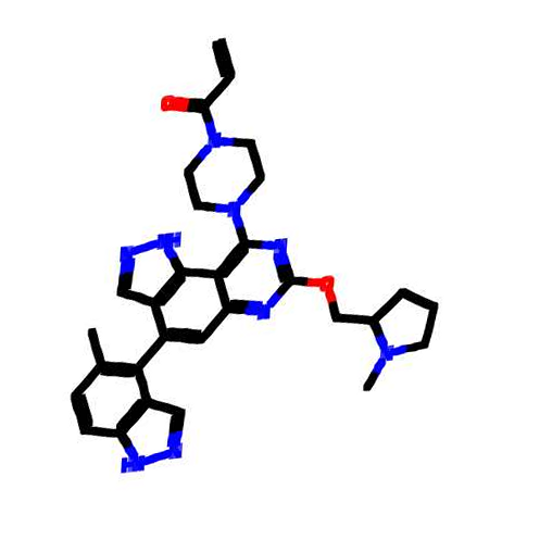 C=CC(=O)N1CCN(c2nc(OCC3CCCN3C)nc3cc(-c4c(C)ccc5[nH]ncc45)c4cn[nH]c4c23)CC1